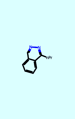 [CH2]CCc1nncc2ccccc12